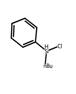 CCCC[SiH](Cl)c1ccccc1